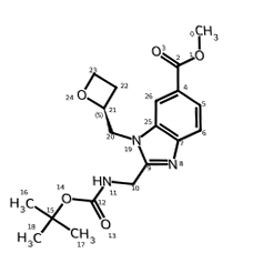 COC(=O)c1ccc2nc(CNC(=O)OC(C)(C)C)n(C[C@@H]3CCO3)c2c1